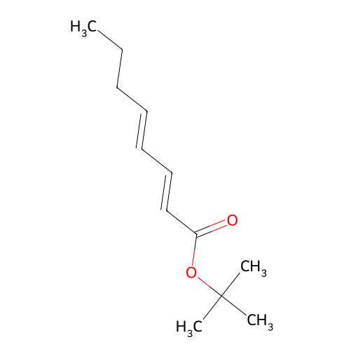 CCCC=CC=CC(=O)OC(C)(C)C